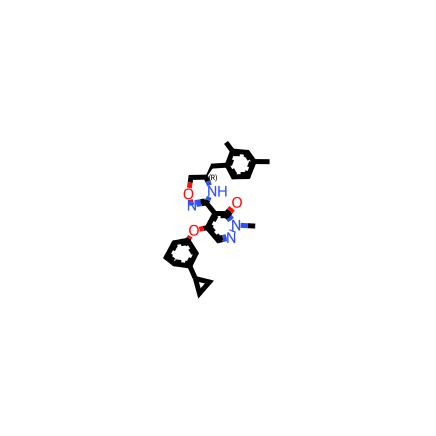 Cc1ccc(C[C@@H]2CON=C(c3c(Oc4cccc(C5CC5)c4)cnn(C)c3=O)N2)c(C)c1